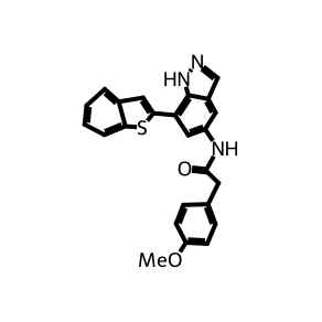 COc1ccc(CC(=O)Nc2cc(-c3cc4ccccc4s3)c3[nH]ncc3c2)cc1